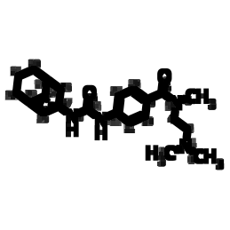 CN(C)CCN(C)C(=O)c1ccc(NC(=O)NC23CC4CCCC(C4)(C2)C3)cc1